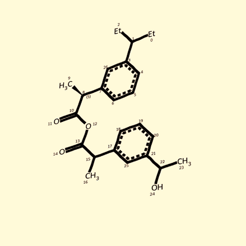 CCC(CC)c1cccc([C@H](C)C(=O)OC(=O)C(C)c2cccc(C(C)O)c2)c1